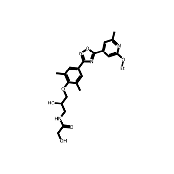 CCOc1cc(-c2nc(-c3cc(C)c(OCC(O)CNC(=O)CO)c(C)c3)no2)cc(C)n1